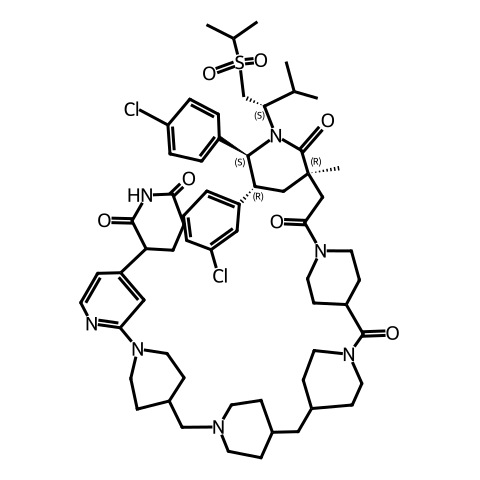 CC(C)[C@@H](CS(=O)(=O)C(C)C)N1C(=O)[C@@](C)(CC(=O)N2CCC(C(=O)N3CCC(CC4CCN(CC5CCN(c6cc(C7CCC(=O)NC7=O)ccn6)CC5)CC4)CC3)CC2)C[C@H](c2cccc(Cl)c2)[C@H]1c1ccc(Cl)cc1